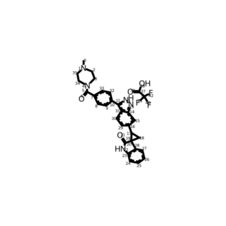 CN1CCN(C(=O)c2ccc(-c3n[nH]c4cc(C5CC56C(=O)Nc5ccccc56)ccc34)cc2)CC1.O=C(O)C(F)(F)F